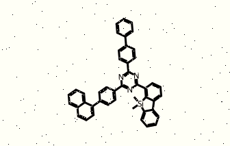 C[Si]1(C)c2ccccc2-c2cccc(-c3nc(-c4ccc(-c5ccccc5)cc4)nc(-c4ccc(-c5cccc6ccccc56)cc4)n3)c21